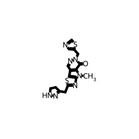 Cn1c2nc(CC3=NNCC3)sc2c2cnn(Cc3cncs3)c(=O)c21